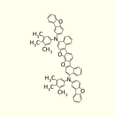 Cc1cc(N(c2ccc3oc4ccccc4c3c2)c2cc3oc4c(ccc5c4oc4cc(N(c6cc(C)c(C)c(C)c6)c6ccc7oc8ccccc8c7c6)c6ccccc6c45)c3c3ccccc23)cc(C)c1C